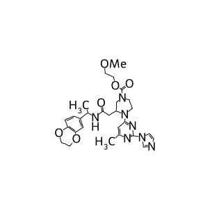 COCCOC(=O)N1CCN(c2cc(C)nc(-n3ccnc3)n2)C(CC(=O)NC(C)c2ccc3c(c2)OCCO3)C1